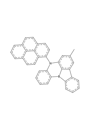 Cc1cc2c3c(c1)N(c1ccc4ccc5cccc6ccc1c4c56)c1ccccc1B3c1ccccc1-2